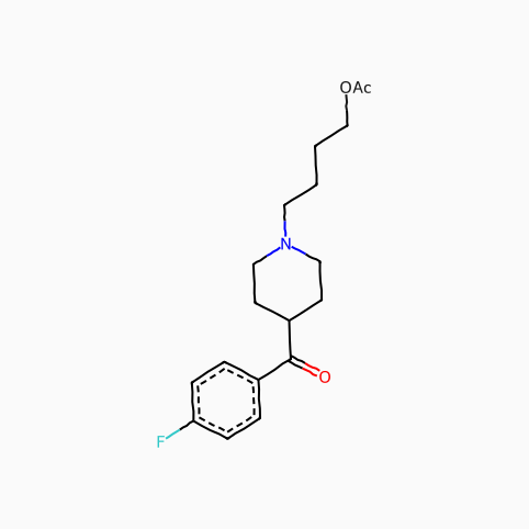 CC(=O)OCCCCN1CCC(C(=O)c2ccc(F)cc2)CC1